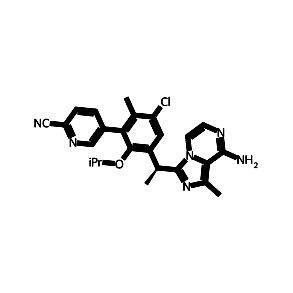 Cc1c(Cl)cc([C@H](C)c2nc(C)c3c(N)nccn23)c(OC(C)C)c1-c1ccc(C#N)nc1